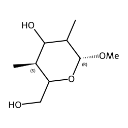 CO[C@@H]1OC(CO)[C@@H](C)C(O)C1C